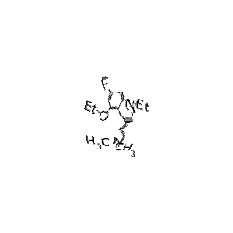 CCOc1cc(F)cc2c1c(CCN(C)C)cn2CC